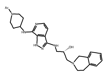 CC(=O)N1CCC(Nc2nccc3c(NC[C@H](O)CN4CCc5ccccc5C4)n[nH]c23)CC1